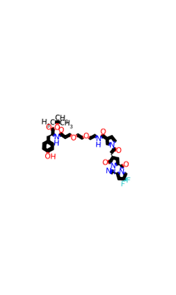 CC(C)(C)OC(=O)[C@H](Cc1ccc(O)cc1)NC(=O)CCOCCOCCNC(=O)C1CCN(C(=O)C[C@@H]2C[C@@H](C(=O)N3CC(F)(F)C[C@H]3C#N)NC2=O)C1